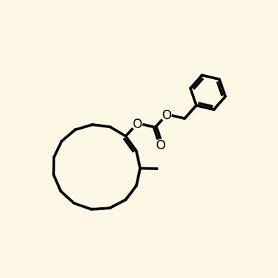 CC1C=C(OC(=O)OCc2ccccc2)CCCCCCCCCCCC1